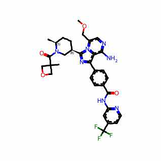 COCc1cnc(N)c2c(-c3ccc(C(=O)Nc4cc(C(F)(F)F)ccn4)cc3)nc([C@@H]3CC[C@H](C)N(C(=O)C4(C)COC4)C3)n12